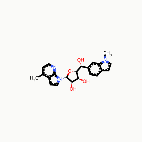 Cc1ccnc2c1ccn2[C@@H]1O[C@H]([C@H](O)c2ccc3ccn(C)c3c2)[C@@H](O)[C@H]1O